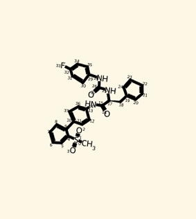 CS(=O)(=O)c1ccccc1-c1ccc(NC(=O)[C@H](Cc2ccccc2)NC(=O)Nc2ccc(F)cc2)cc1